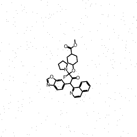 COC(=O)C1CCC(OC(F)(C(=O)C(c2ccc3ncoc3c2)c2nccc3ccccc23)N2CCCC2)CC1